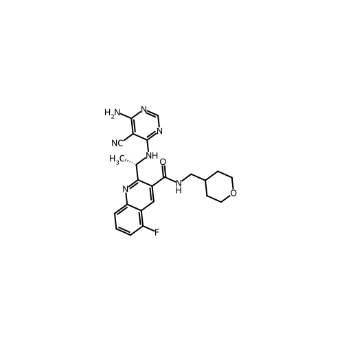 C[C@H](Nc1ncnc(N)c1C#N)c1nc2cccc(F)c2cc1C(=O)NCC1CCOCC1